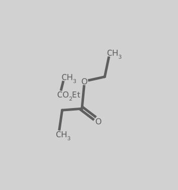 CCOC(=O)CC.CCOC(C)=O